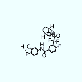 Cc1cc(NC(=O)c2ccc(F)c(C(F)(F)C(=O)N3C[C@H]4CC[C@@H](C3)[C@H]4O)c2)ccc1F